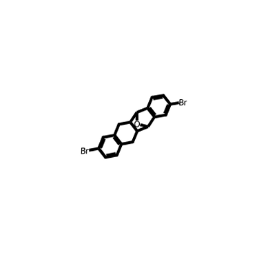 Brc1ccc2c(c1)CC1C3OC(c4cc(Br)ccc43)C1C2